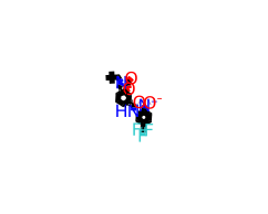 CC(C)(C)CN1C[C@@]2(CCC[C@H](CNc3cc(C(F)(F)F)ccc3[N+](=O)[O-])C2)OC1=O